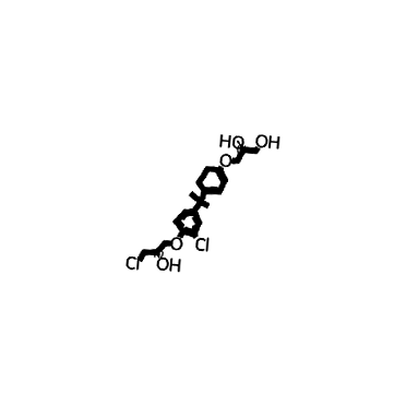 CC(C)(C1=CC=C(OC[C@H](O)CO)CC1)c1ccc(OC[C@H](O)CCl)c(Cl)c1